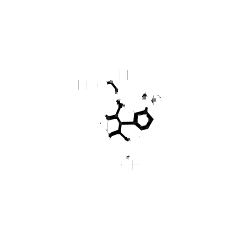 CCOC(=O)C1=C(C)NC(C)=C(C(=O)OCC(C)C)C1c1cccc([N+](=O)[O-])c1